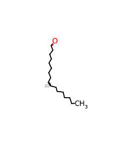 CCCCCCC/C=C\CCCCCCCC=O